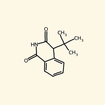 CC(C)(C)C1C(=O)NC(=O)c2ccccc21